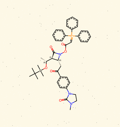 C[C@@H](O[Si](C)(C)C(C)(C)C)[C@H]1C(=O)N(OC(=O)C=P(c2ccccc2)(c2ccccc2)c2ccccc2)[C@@H]1CC(=O)c1ccc(N2CCN(C)C2=O)cc1